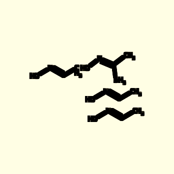 CC([SiH3])=NO.CC=NO.CC=NO.CC=NO